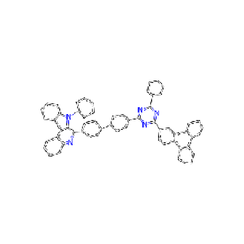 c1ccc(-c2nc(-c3ccc(-c4ccc(-c5nc6ccccc6c6c7ccccc7n(-c7ccccc7)c56)cc4)cc3)nc(-c3ccc4c5ccccc5c5ccccc5c4c3)n2)cc1